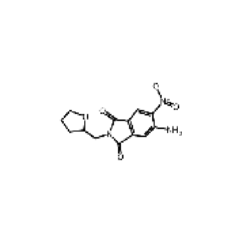 Nc1cc2c(cc1[N+](=O)[O-])C(=O)N(CC1CCCO1)C2=O